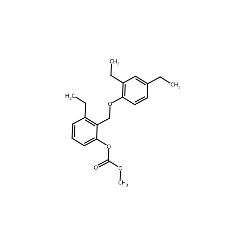 CCc1ccc(OCc2c(CC)cccc2OC(=O)OC)c(CC)c1